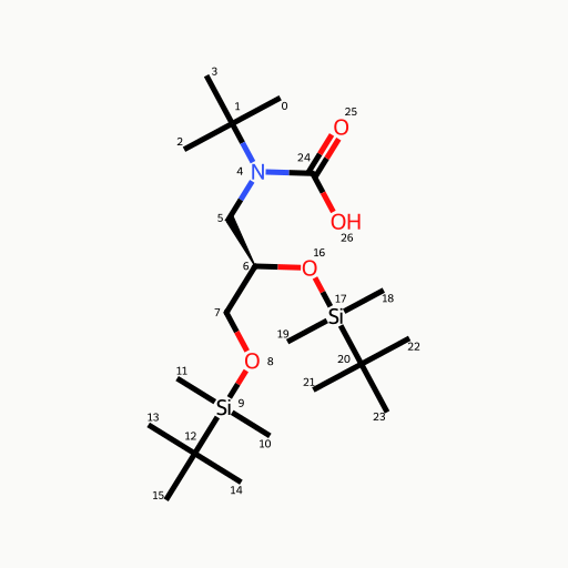 CC(C)(C)N(C[C@H](CO[Si](C)(C)C(C)(C)C)O[Si](C)(C)C(C)(C)C)C(=O)O